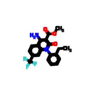 CCc1ccccc1-n1c(=O)c(C(=O)OC)c(N)c2ccc(C(F)(F)F)cc21